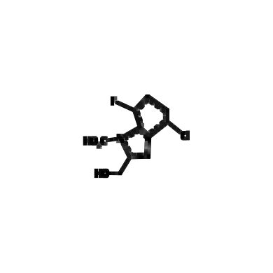 O=C(O)n1c(CO)cc2c(Cl)ccc(F)c21